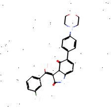 O=C1NC2=CC=C(c3ccc(N4CCOCC4)cc3)C(=O)C2C1=C(O)c1cccc(Cl)c1